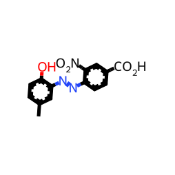 Cc1ccc(O)c(N=Nc2ccc(C(=O)O)cc2[N+](=O)[O-])c1